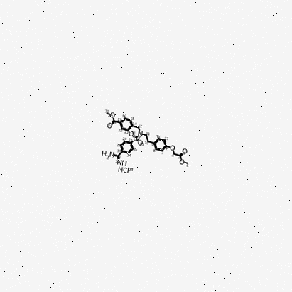 COC(=O)COc1ccc(CCN(Cc2ccc(C(=O)OC)cc2)S(=O)(=O)c2ccc(C(=N)N)cc2)cc1.Cl